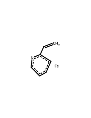 C=Cc1ccccn1.[Fe]